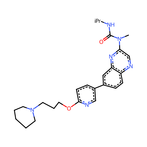 CC(C)NC(=O)N(C)c1cnc2ccc(-c3ccc(OCCCN4CCCCC4)nc3)cc2n1